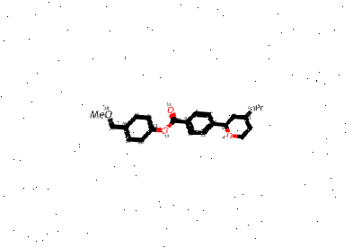 CCCC1CCOC(c2ccc(C(=O)OC3CCC(COC)CC3)cc2)C1